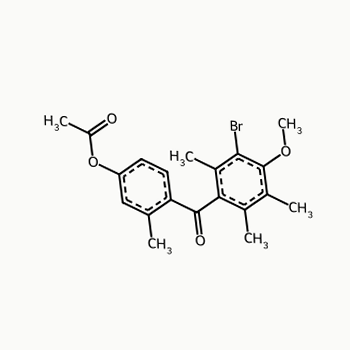 COc1c(C)c(C)c(C(=O)c2ccc(OC(C)=O)cc2C)c(C)c1Br